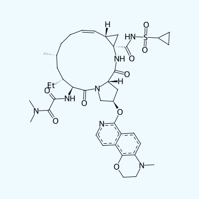 CC[C@@H]1C[C@H](C)CCC=C[C@@H]2C[C@@]2(C(=O)NS(=O)(=O)C2CC2)NC(=O)[C@@H]2C[C@@H](Oc3nccc4c5c(ccc34)N(C)CCO5)CN2C(=O)[C@H]1NC(=O)C(=O)N(C)C